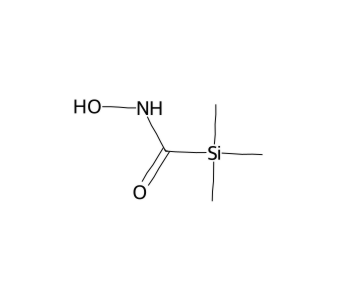 C[Si](C)(C)C(=O)NO